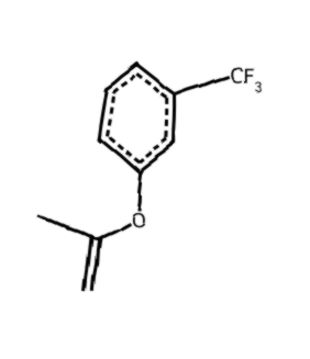 C=C(C)Oc1cccc(C(F)(F)F)c1